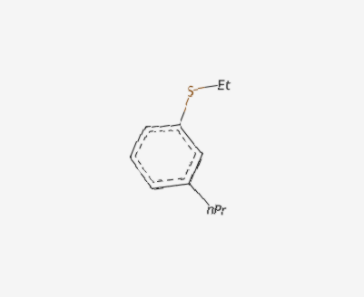 [CH2]CCc1cccc(SCC)c1